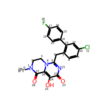 CC(C)N1CCn2c(Cc3ccc(Cl)cc3-c3ccc(F)cc3)nc(=O)c(O)c2C1=O